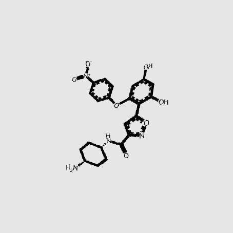 N[C@H]1CC[C@H](NC(=O)c2cc(-c3c(O)cc(O)cc3Oc3ccc([N+](=O)[O-])cc3)on2)CC1